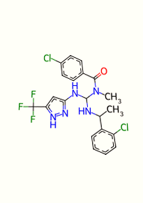 CC(NC(Nc1cc(C(F)(F)F)[nH]n1)N(C)C(=O)c1ccc(Cl)cc1)c1ccccc1Cl